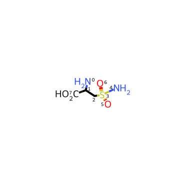 NC(CS(N)(=O)=O)C(=O)O